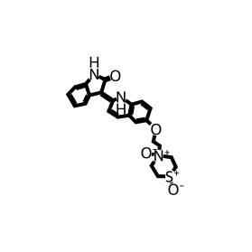 O=C1Nc2ccccc2C1=C1C=Cc2cc(OCC[N+]3([O-])CC[S+]([O-])CC3)ccc2N1